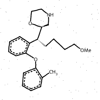 COCCCC[C@H](c1ccccc1Oc1ccccc1C)[C@@H]1CNCCO1